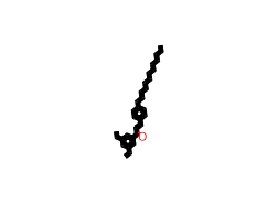 CCCCCCCCCCCCCc1ccc(C=CC(=O)c2cc(CC)cc(CC)c2)cc1